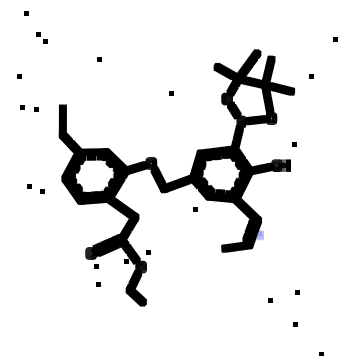 C/C=C\c1cc(COc2cc(CC)ccc2CC(=O)OCC)cc(B2OC(C)(C)C(C)(C)O2)c1O